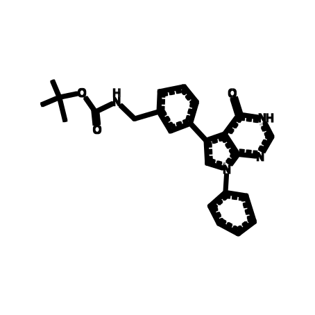 CC(C)(C)OC(=O)NCc1cccc(-c2cn(-c3ccccc3)c3nc[nH]c(=O)c23)c1